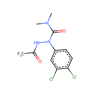 CN(C)C(=O)N(NC(=O)C(F)(F)F)c1ccc(Cl)c(Cl)c1